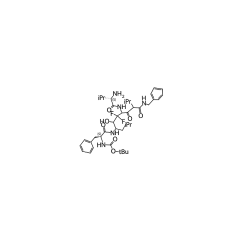 CC(C)CC(NC(=O)[C@H](Cc1ccccc1)NC(=O)OC(C)(C)C)C(O)C(F)(F)C(NC(=O)[C@@H](N)C(C)C)C(=O)C(C(=O)NCc1ccccc1)C(C)C